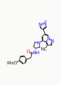 COc1ccc(CC(=O)N[C@@H]2CCN(c3cc(-c4cnn(C)c4)cn4ncc(C#N)c34)C2)cc1